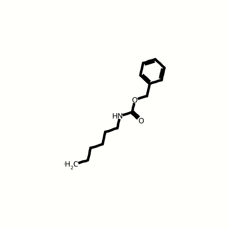 [CH2]CCCCCNC(=O)OCc1ccccc1